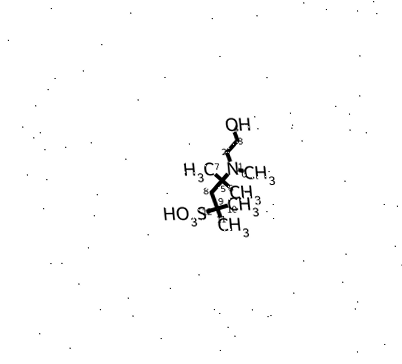 CN(CCO)C(C)(C)CC(C)(C)S(=O)(=O)O